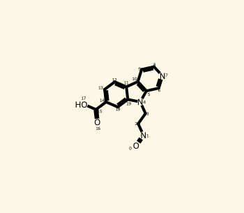 O=NCCn1c2cnccc2c2ccc(C(=O)O)cc21